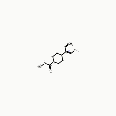 C=C/C(=C\C)C1CCN(C(=O)OC(C)(C)C)CC1